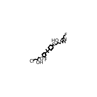 CC(C)(c1ccc(OCC(O)Cn2cc(CF)nn2)cc1)c1ccc(OCC(O)CCl)c(F)c1